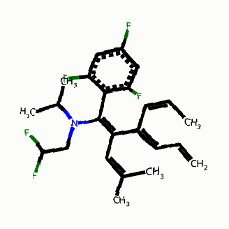 C=C/C=C(\C=C/C)C(/C=C(C)C)=C(\c1c(F)cc(F)cc1F)N(CC(F)F)C(C)C